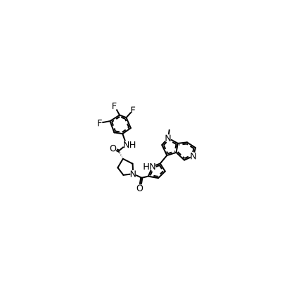 Cn1cc(-c2ccc(C(=O)N3CC[C@H](C(=O)Nc4cc(F)c(F)c(F)c4)C3)[nH]2)c2cnccc21